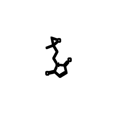 CC1(CCN2C(=O)C=CC2=O)CO1